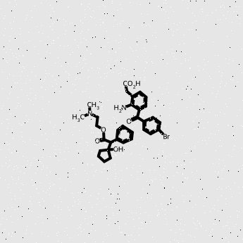 CN(C)CCOC(=O)C(c1ccccc1)C1(O)CCCC1.Nc1c(CC(=O)O)cccc1C(=O)c1ccc(Br)cc1